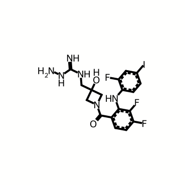 N=C(NN)NCC1(O)CN(C(=O)c2ccc(F)c(F)c2Nc2ccc(I)cc2F)C1